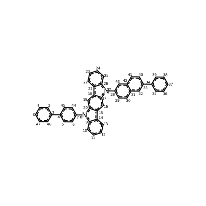 c1ccc(-c2ccc(-n3c4ccccc4c4cc5c(cc43)c3ccccc3n5-c3ccc4cc(-c5ccccc5)ccc4c3)cc2)cc1